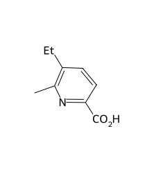 CCc1ccc(C(=O)O)nc1C